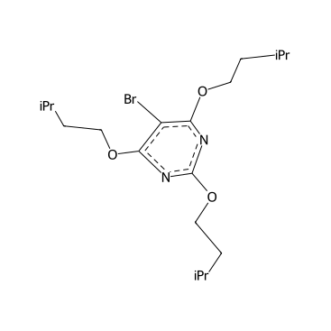 CC(C)CCOc1nc(OCCC(C)C)c(Br)c(OCCC(C)C)n1